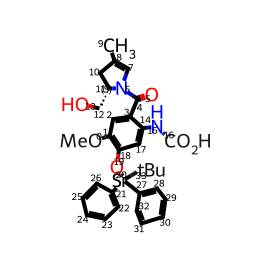 COc1cc(C(=O)N2C=C(C)C[C@H]2CO)c(NC(=O)O)cc1O[Si](c1ccccc1)(c1ccccc1)C(C)(C)C